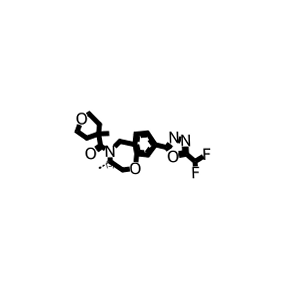 C[C@H]1COc2cc(-c3nnc(C(F)F)o3)ccc2CN1C(=O)C1(C)CCOCC1